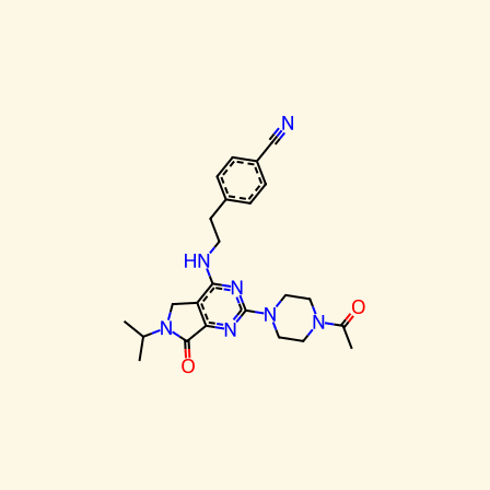 CC(=O)N1CCN(c2nc(NCCc3ccc(C#N)cc3)c3c(n2)C(=O)N(C(C)C)C3)CC1